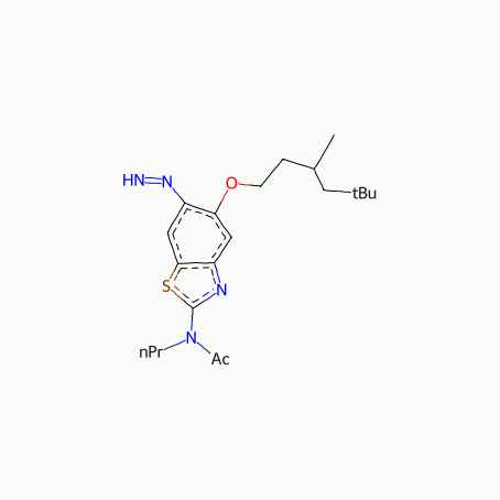 CCCN(C(C)=O)c1nc2cc(OCCC(C)CC(C)(C)C)c(N=N)cc2s1